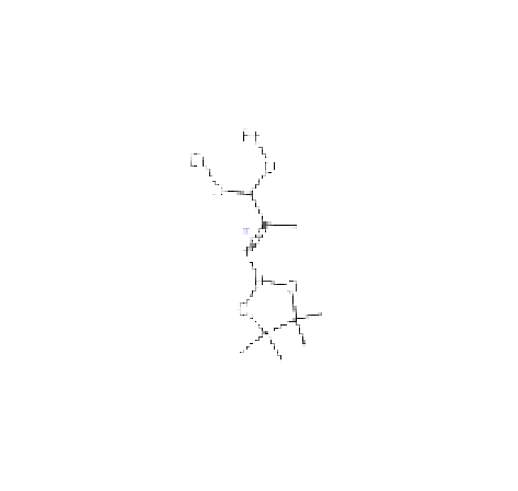 CCOC(OCC)/C(C)=C/B1OC(C)(C)C(C)(C)O1